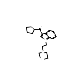 O=C(c1cn(CCN2CCOCC2)c2ccccc12)C1CCCC1